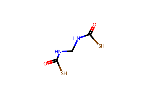 O=C(S)NCNC(=O)S